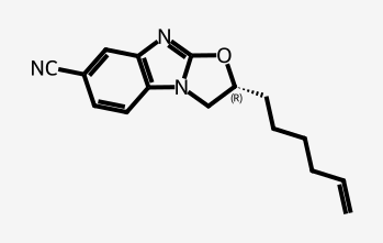 C=CCCCC[C@@H]1Cn2c(nc3cc(C#N)ccc32)O1